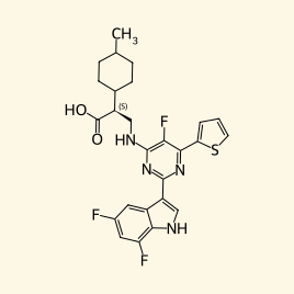 CC1CCC([C@@H](CNc2nc(-c3c[nH]c4c(F)cc(F)cc34)nc(-c3cccs3)c2F)C(=O)O)CC1